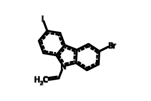 C=Cn1c2ccc(Br)cc2c2cc(I)ccc21